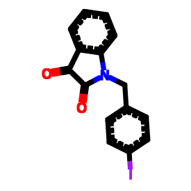 O=C1C(=O)N(Cc2ccc(I)cc2)c2ccccc21